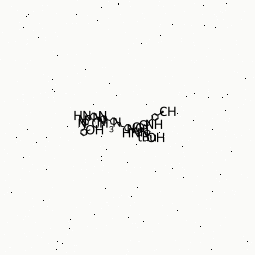 C#Cc1ccc(CNC(=O)[C@@H]2C[C@@H](O)CN2C(=O)[C@@H](NC(=O)N2CCC(CCN3CCC(c4cnc(N5CCc6[nH]c7nnc(-c8ccccc8O)cc7c6[C@H]5C)nc4)CC3)CC2)C(C)(C)C)cc1